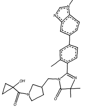 Cc1cc(-c2ccc3c(c2)ncn3C)ccc1C1=NC(C)(C)C(=O)N1CC1CCN(C(=O)C2(O)CC2)C1